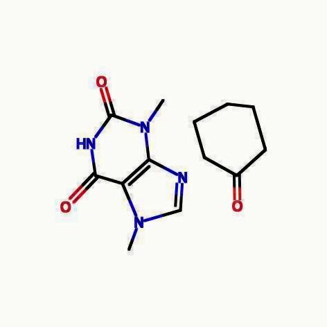 Cn1cnc2c1c(=O)[nH]c(=O)n2C.O=C1CCCCC1